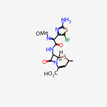 CON=C(C(=O)NC1C(=O)N2C(C(=O)O)=CC(C)S[C@@H]12)c1nc(N)sc1Br